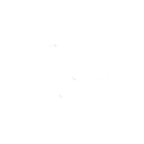 CCO[C@H]1COC[C@H]1Nc1cc(C(=O)OC)ccc1N